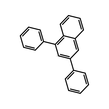 [c]1c(-c2ccccc2)cc2ccccc2c1-c1ccccc1